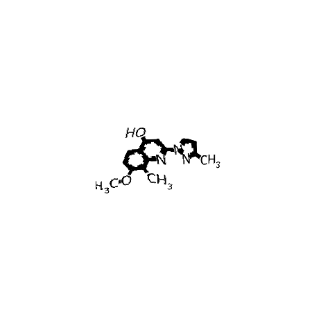 COc1ccc2c(O)cc(-n3ccc(C)n3)nc2c1C